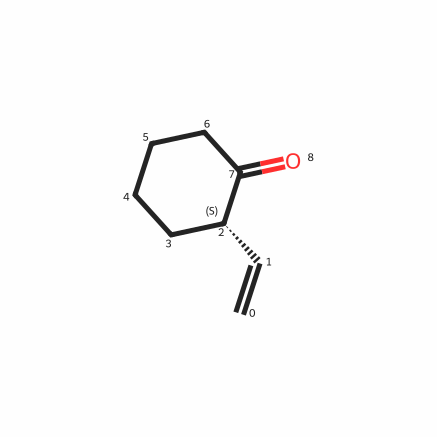 C=C[C@@H]1CCCCC1=O